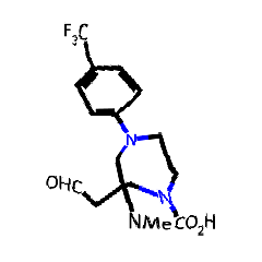 CNC1(CC=O)CN(c2ccc(C(F)(F)F)cc2)CCN1C(=O)O